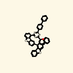 c1ccc(-c2ccc(-c3nc(-c4ccccc4)nc(-c4cccc5oc6ccc(-c7cc(-c8ccccc8)cc8oc9ccccc9c78)cc6c45)n3)cc2)cc1